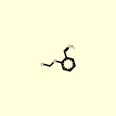 C=Cc1ccccc1OCCl